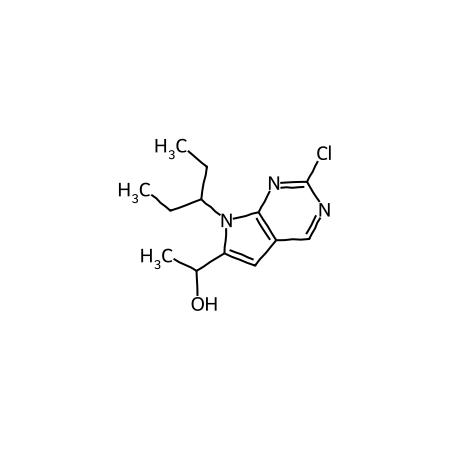 CCC(CC)n1c(C(C)O)cc2cnc(Cl)nc21